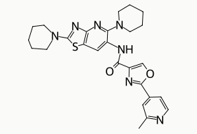 Cc1cc(-c2nc(C(=O)Nc3cc4sc(N5CCCCC5)nc4nc3N3CCCCC3)co2)ccn1